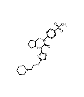 CS(=O)(=O)c1ccc([C@@H](CC2CCCC2)C(=O)Nc2ncc(SCCN3CCCCC3)s2)cc1